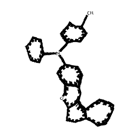 N#Cc1ccc(N(c2ccccc2)c2ccc3c(c2)oc2ccc4ccccc4c23)cc1